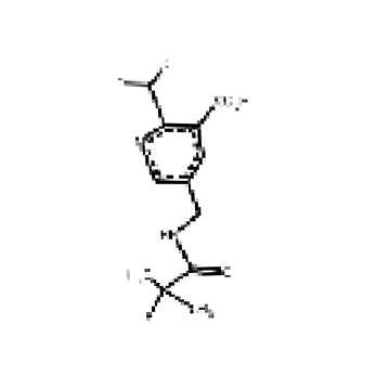 CC(C)(F)C(=O)NCc1cnc(C(F)F)c(C(=O)O)c1